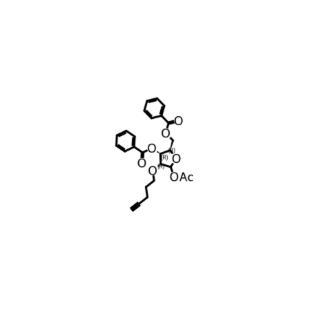 C#CCCCO[C@H]1C(OC(C)=O)O[C@H](COC(=O)c2ccccc2)[C@H]1OC(=O)c1ccccc1